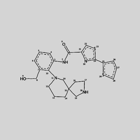 O=C(Nc1cccc(CO)c1N1CCCC2(CCNC2)C1)c1csc(-c2cccs2)n1